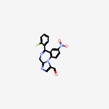 O=Cc1cnc2n1-c1ccc([N+](=O)[O-])cc1C(c1ccccc1F)=NC2